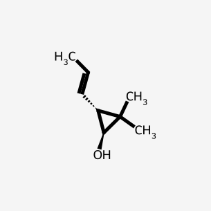 CC=C[C@H]1[C@H](O)C1(C)C